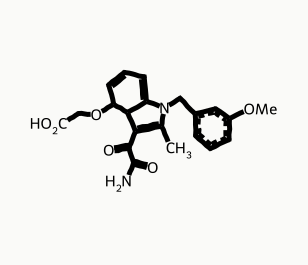 COc1cccc(CN2C3=CC=CC(OCC(=O)O)C3C(C(=O)C(N)=O)=C2C)c1